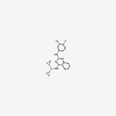 Fc1ccc(Nc2nc(NC(C3CC3)C3CC3)c3ccccc3n2)cc1Cl